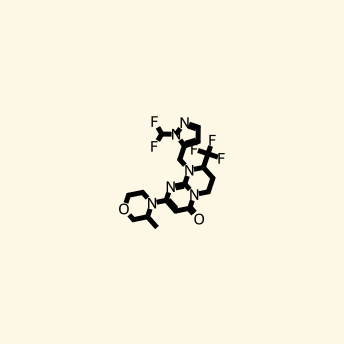 CC1COCCN1c1cc(=O)n2c(n1)N(Cc1ccnn1C(F)F)C(C(F)(F)F)CC2